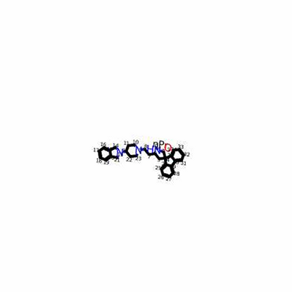 CCCNC(=O)C1(CCCCN2CCC(N3Cc4ccccc4C3)CC2)c2ccccc2-c2ccccc21